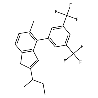 CCC(C)C1=Cc2c(ccc(C)c2-c2cc(C(F)(F)F)cc(C(F)(F)F)c2)[CH]1